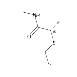 [CH2]CS[C@@H](C)C(=O)NC